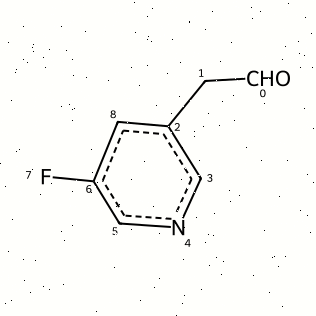 O=CCc1cncc(F)c1